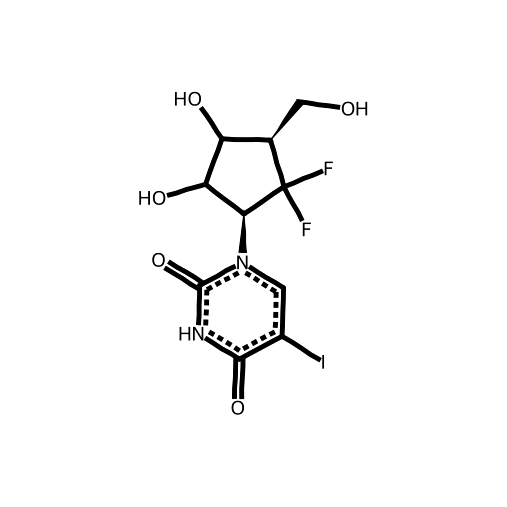 O=c1[nH]c(=O)n([C@H]2C(O)C(O)[C@@H](CO)C2(F)F)cc1I